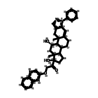 CC12Cc3cnn(-c4ccccc4)c3C=C1CCC1C2[C@@H](O)CC2(C)C1CC[C@]2(O)C(=O)COc1cnc2ccccc2n1